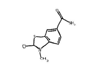 CN1c2ccc(C(N)=O)cc2SC1Cl